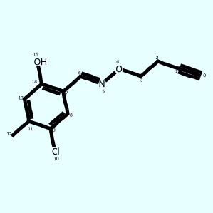 C#CCCON=Cc1cc(Cl)c(C)cc1O